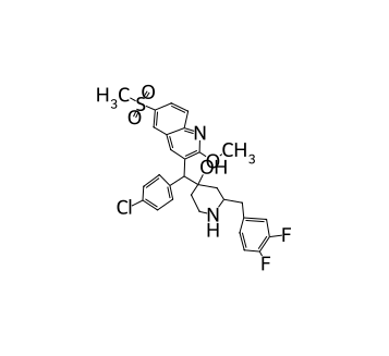 COc1nc2ccc(S(C)(=O)=O)cc2cc1C(c1ccc(Cl)cc1)C1(O)CCNC(Cc2ccc(F)c(F)c2)C1